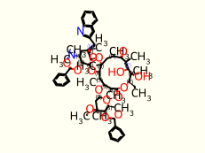 CC[C@H]1OC(=O)[C@H](C)[C@@H](O[C@H]2C[C@@](C)(OC)[C@@H](OC(=O)c3ccccc3)[C@H](C)O2)[C@H](C)[C@@H](O[C@@H]2O[C@H](C)C[C@H](N(C)C)[C@H]2OC(=O)c2ccccc2)[C@](C)(OC/C=C/c2cnc3ccccc3c2)C[C@@H](C)C(=O)/C(C)=C(\O)[C@]1(C)O